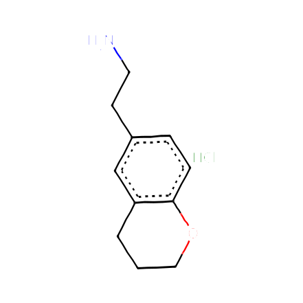 Cl.NCCc1ccc2c(c1)CCCO2